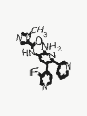 Cn1cncc1C(=O)Nc1cc(-c2ccncc2F)c(-c2cccnc2)nc1N